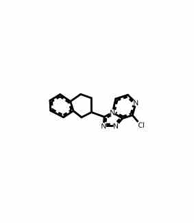 Clc1nccn2c(C3CCc4ccccc4C3)nnc12